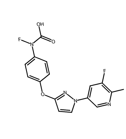 Cc1ncc(-n2ccc(Oc3ccc(N(F)C(=O)O)cc3)n2)cc1F